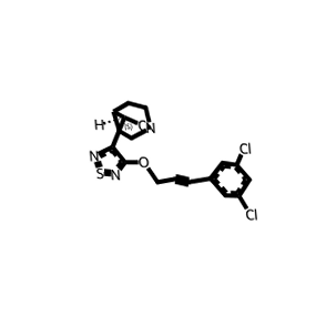 Clc1cc(Cl)cc(C#CCOc2nsnc2[C@@H]2CN3CCC2CC3)c1